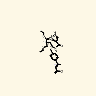 C=C(Cl)/C=C(\C)c1ccc(C[C@H](C[C@@](C)(COCC)C(=O)OCC)NC(=O)c2c[nH]nn2)cc1